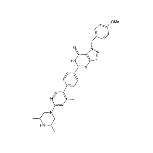 COc1ccc(Cn2ncc3nc(-c4ccc(-c5cnc(N6CC(C)NC(C)C6)cc5C)cc4)[nH]c(=O)c32)cc1